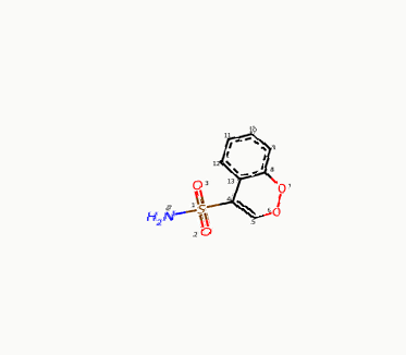 NS(=O)(=O)C1=COOc2ccccc21